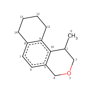 CC1COCc2ccc3c(c21)CCCC3